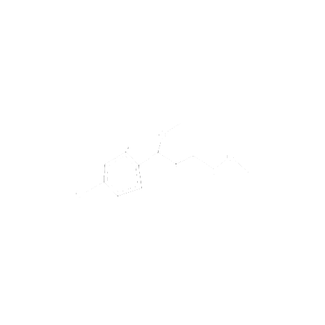 COCCCC(OC)c1ccc(Cl)cc1